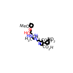 COc1ccccc1OCC(O)CNC(C)(C)CNCCc1ncc(C(=O)O)c(-c2cccc([N+](=O)[O-])c2)c1C(=O)O